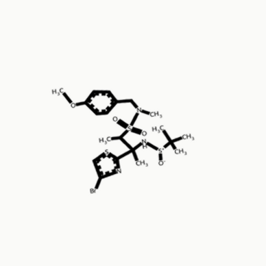 COc1ccc(CN(C)S(=O)(=O)C(C)C(C)(N[S+]([O-])C(C)(C)C)c2nc(Br)cs2)cc1